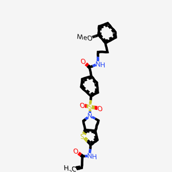 C=CC(=O)Nc1cc2c(s1)CN(S(=O)(=O)c1ccc(C(=O)NCCc3ccccc3OC)cc1)C2